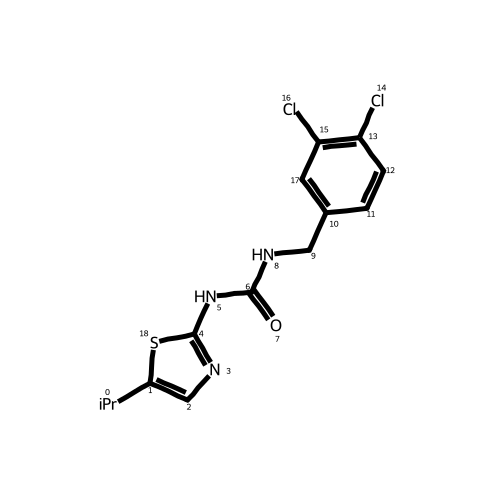 CC(C)c1cnc(NC(=O)NCc2ccc(Cl)c(Cl)c2)s1